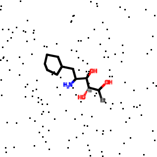 CCC(O)[C@H](O)C(O)C(N)CC1CCCCC1